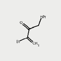 C=C(CC)C(=O)CCCC